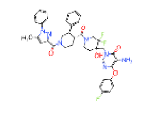 Cc1cc(C(=O)N2CC[C@@H](C(=O)N3CC[C@](O)(Cn4cnc(Oc5ccc(F)cc5)c(N)c4=O)C(F)(F)C3)[C@H](c3ccccc3)C2)nn1-c1ccccc1